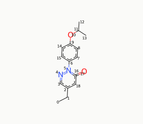 CCc1cnn(-c2ccc(OC(C)C)cc2)c(=O)c1